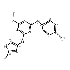 CCc1nc(Nc2ccc(N)cc2)nc(Nc2cc(C)[nH]n2)n1